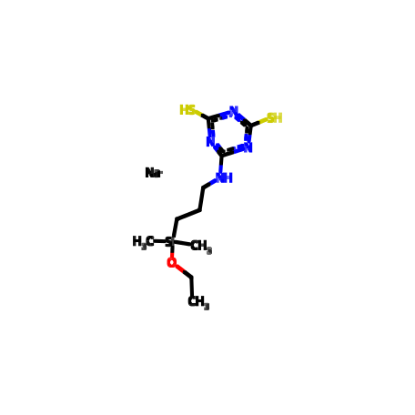 CCO[Si](C)(C)CCCNc1nc(S)nc(S)n1.[Na]